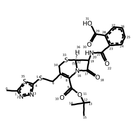 Cc1nnc(SCC2=C(C(=O)OC(C)(C)C)N3C(=O)C(NC(=O)c4ccccc4C(=O)O)[C@@H]3SC2)s1